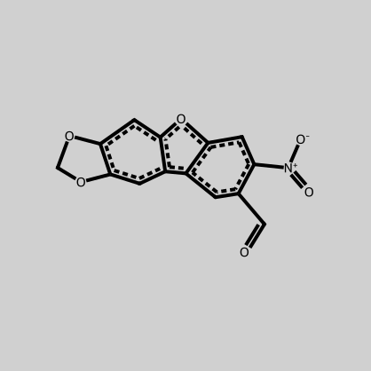 O=Cc1cc2c(cc1[N+](=O)[O-])oc1cc3c(cc12)OCO3